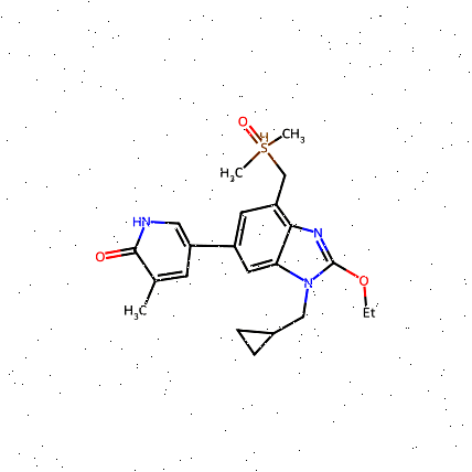 CCOc1nc2c(C[SH](C)(C)=O)cc(-c3c[nH]c(=O)c(C)c3)cc2n1CC1CC1